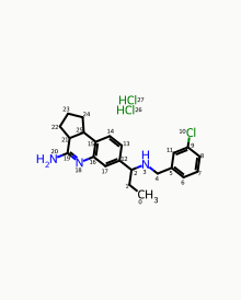 CCC(NCc1cccc(Cl)c1)c1ccc2c(c1)N=C(N)C1CCCC21.Cl.Cl